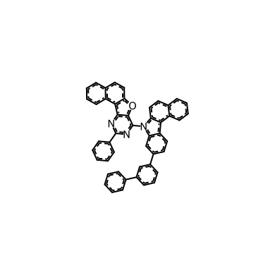 c1ccc(-c2cccc(-c3ccc4c5c6ccccc6ccc5n(-c5nc(-c6ccccc6)nc6c5oc5ccc7ccccc7c56)c4c3)c2)cc1